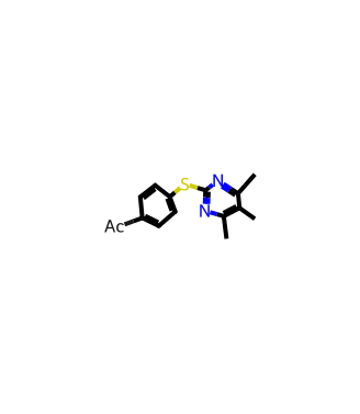 CC(=O)c1ccc(Sc2nc(C)c(C)c(C)n2)cc1